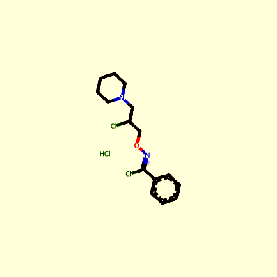 Cl.Cl/C(=N\OCC(Cl)CN1CCCCC1)c1ccccc1